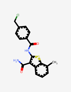 Cc1c[c]cc2c(C(N)=O)c(NC(=O)c3ccc(CCl)cc3)sc12